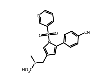 CN(Cc1cc(-c2ccc(C#N)cc2)n(S(=O)(=O)c2cccnc2)c1)C(=O)O